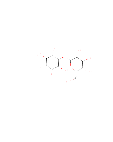 OC[C@H]1OC(O[C@@H]2[C@@H](O)[C@H](O)[C@@H](O)[C@H](O)[C@@H]2O)[C@H](O)[C@@H](O)[C@@H]1O